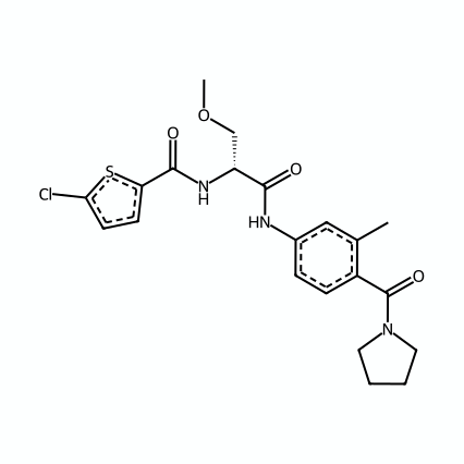 COC[C@@H](NC(=O)c1ccc(Cl)s1)C(=O)Nc1ccc(C(=O)N2CCCC2)c(C)c1